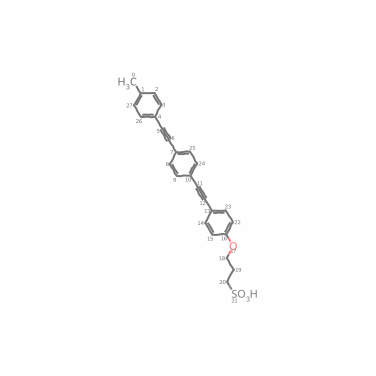 Cc1ccc(C#Cc2ccc(C#Cc3ccc(OCCCS(=O)(=O)O)cc3)cc2)cc1